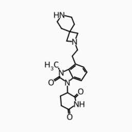 Cn1c(=O)n(C2CCC(=O)NC2=O)c2cccc(CCN3CC4(CCNCC4)C3)c21